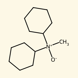 C[N+]([O-])(C1CCCCC1)C1CCCCC1